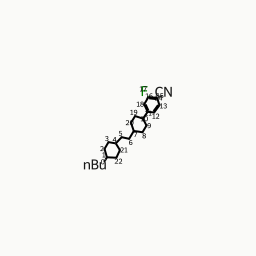 CCCCC1CCC(CCC2CCC(c3ccc(C#N)c(F)c3)CC2)CC1